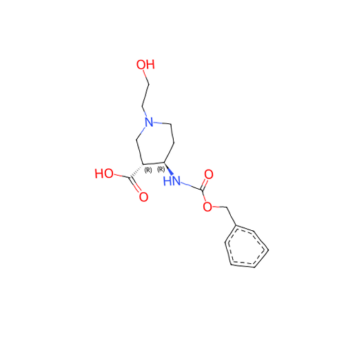 O=C(N[C@@H]1CCN(CCO)C[C@H]1C(=O)O)OCc1ccccc1